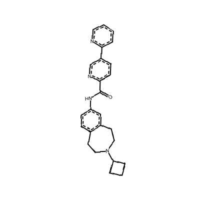 O=C(Nc1ccc2c(c1)CCN(C1CCC1)CC2)c1ccc(-c2ccccn2)cn1